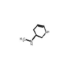 CNC1CC=CNC1